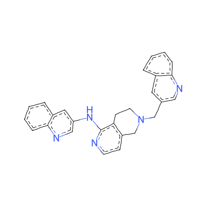 c1ccc2ncc(CN3CCc4c(ccnc4Nc4cnc5ccccc5c4)C3)cc2c1